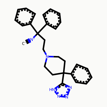 [C-]#[N+]C(CCN1CCC(c2ccccc2)(c2nnn[nH]2)CC1)(c1ccccc1)c1ccccc1